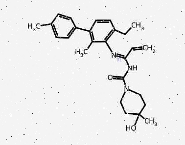 C=C/C(=N\c1c(CC)ccc(-c2ccc(C)cc2)c1C)NC(=O)N1CCC(C)(O)CC1